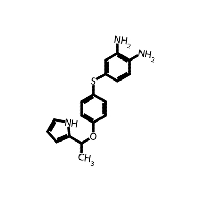 CC(Oc1ccc(Sc2ccc(N)c(N)c2)cc1)c1ccc[nH]1